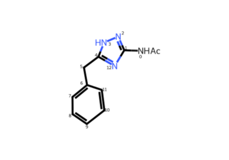 CC(=O)Nc1n[nH]c(Cc2ccccc2)n1